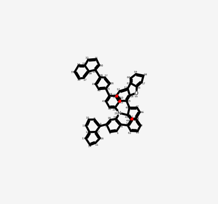 c1ccc(-c2ccc(-c3cccc4ccccc34)cc2N(c2ccc(-c3ccc(-c4cccc5ccccc45)cc3)cc2)c2ccccc2-c2cccc3c2oc2ccccc23)cc1